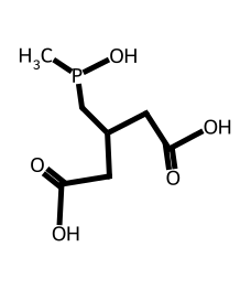 CP(O)CC(CC(=O)O)CC(=O)O